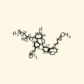 COCCCN1CCOc2ccc(CO[C@H]3CNC[C@H](OC[C@H](O)COC)[C@@H]3c3ccc(COC)cc3)cc21